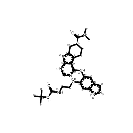 CN(C)C(=O)[C@H]1CCc2c(sc3ncnc(Nc4cc5cn[nH]c5cc4OCCNC(=O)OC(C)(C)C)c23)C1